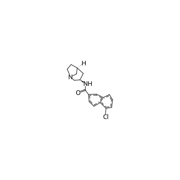 O=C(N[C@@H]1C[C@@H]2CCN(C2)C1)c1ccc2c(Cl)cccc2c1